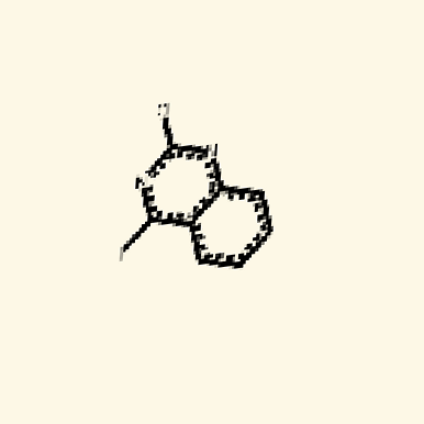 Clc1nc(I)c2ccccc2n1